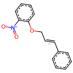 O=[N+]([O-])c1ccccc1OC/C=C/c1ccccc1